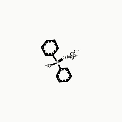 O=P(O)(c1ccccc1)c1ccccc1.[Cl-].[Cl-].[Mg+2]